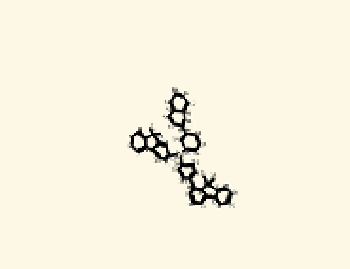 CC1(C)c2ccccc2-c2ccc(N(c3ccc(-c4cccc5c4C(C)(C)c4ccccc4-5)cc3)c3cccc(-c4ccc5ccccc5c4)c3)cc21